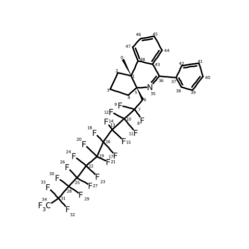 C[C@]12CCC[C@@]1(CC(F)(F)C(F)(F)C(F)(F)C(F)(F)C(F)(F)C(F)(F)C(F)(F)C(F)(F)C(F)(F)C(F)(F)F)N=C(c1ccccc1)c1ccccc12